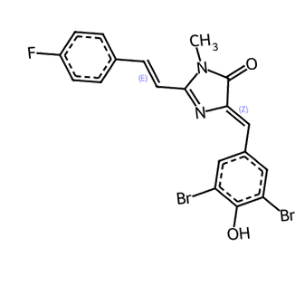 CN1C(=O)/C(=C/c2cc(Br)c(O)c(Br)c2)N=C1/C=C/c1ccc(F)cc1